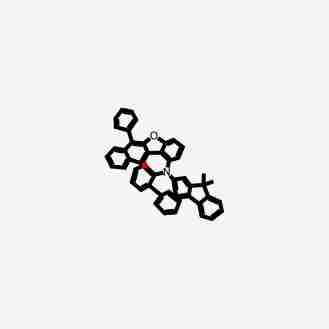 CC1(C)c2ccccc2-c2ccc(N(c3ccccc3-c3ccccc3)c3cccc4oc5c(-c6ccccc6)c6ccccc6cc5c34)cc21